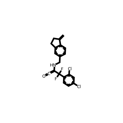 C=C1CCc2cc(CNC(=C=O)C(F)(F)c3ccc(Cl)cc3Cl)ccc21